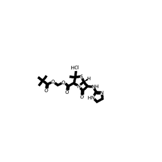 CC(C)(C)C(=O)OCOC(=O)C1N2C(=O)C(NC3=NCCN3)[C@H]2SC1(C)C.Cl